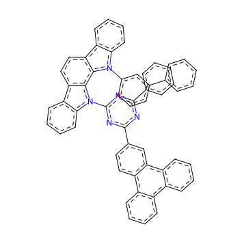 c1ccc(-c2cccc(-n3c4ccccc4c4ccc5c6ccccc6n(-c6nc(-c7ccccc7)nc(-c7ccc8c9ccccc9c9ccccc9c8c7)n6)c5c43)c2)cc1